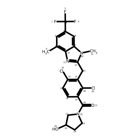 Cc1cc(C(F)(F)F)cc2c1nc(Cc1c(Cl)ccc(C(=O)N3CCC(O)C3)c1Cl)n2C